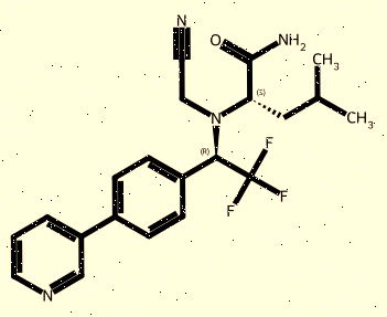 CC(C)C[C@@H](C(N)=O)N(CC#N)[C@H](c1ccc(-c2cccnc2)cc1)C(F)(F)F